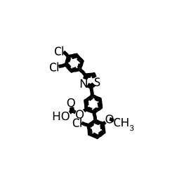 COc1cccc(Cl)c1-c1ccc(-c2nc(-c3ccc(Cl)c(Cl)c3)cs2)cc1OC(=O)O